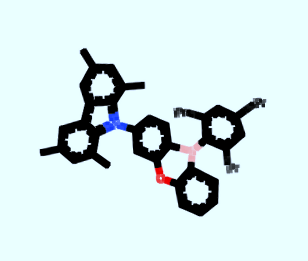 Cc1cc(C)c2c(c1)c1cc(C)cc(C)c1n2-c1ccc2c(c1)Oc1ccccc1B2c1c(C(C)C)cc(C(C)C)cc1C(C)C